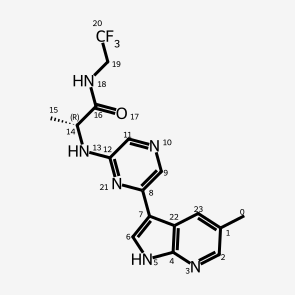 Cc1cnc2[nH]cc(-c3cncc(N[C@H](C)C(=O)NCC(F)(F)F)n3)c2c1